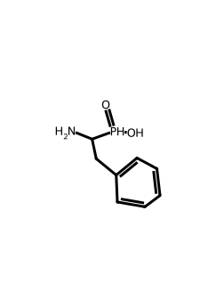 NC(Cc1ccccc1)[PH](=O)O